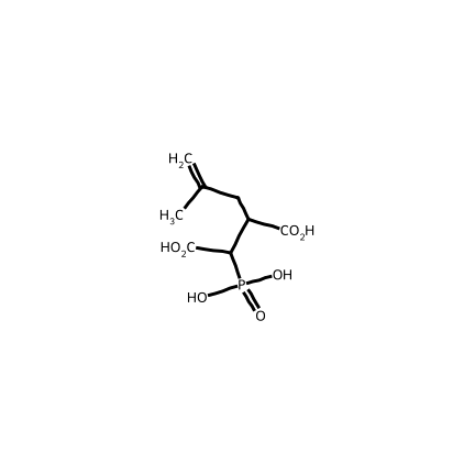 C=C(C)CC(C(=O)O)C(C(=O)O)P(=O)(O)O